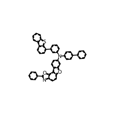 c1ccc(-c2ccc(N(c3cccc(-c4cccc5c4sc4ccccc45)c3)c3ccc4c(c3)oc3ccc5nc(-c6ccccc6)oc5c34)cc2)cc1